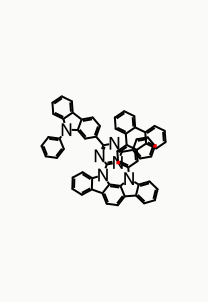 c1ccc(-c2nc(-c3ccc4c5ccccc5n(-c5ccccc5)c4c3)nc(-n3c4ccccc4c4ccc5c6ccccc6n(-c6ccc7c8ccccc8c8ccccc8c7c6)c5c43)n2)cc1